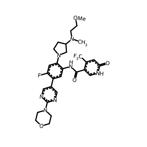 COCCN(C)C1CCN(c2cc(F)c(-c3cnc(N4CCOCC4)nc3)cc2NC(=O)c2c[nH]c(=O)cc2C(F)(F)F)C1